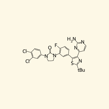 CC(C)(C)c1nc(-c2ccnc(N)n2)c(-c2ccc(F)c(N3CCN(c4ccc(Cl)c(Cl)c4)C3=O)c2)s1